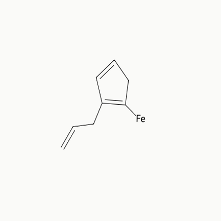 C=CCC1=[C]([Fe])CC=C1